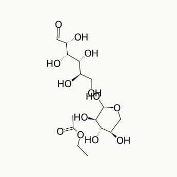 CCOC(C)=O.O=C[C@H](O)[C@@H](O)[C@H](O)[C@H](O)CO.OC1OC[C@@H](O)[C@H](O)[C@H]1O